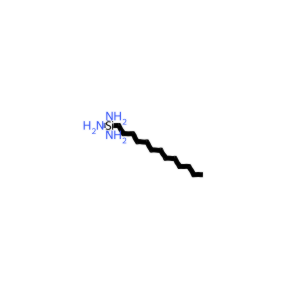 CCCCCCCCCCCCC[Si](N)(N)N